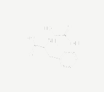 NC(Cc1ccccc1)C(=O)O.O=C(O)CO